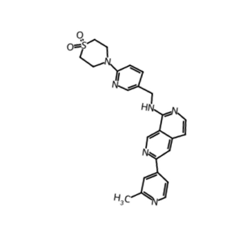 Cc1cc(-c2cc3ccnc(NCc4ccc(N5CCS(=O)(=O)CC5)nc4)c3cn2)ccn1